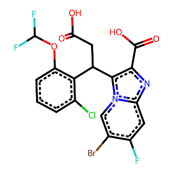 O=C(O)CC(c1c(Cl)cccc1OC(F)F)c1c(C(=O)O)nc2cc(F)c(Br)cn12